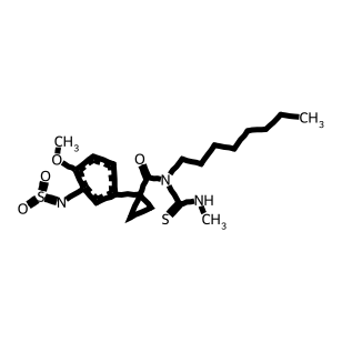 CCCCCCCCN(C(=O)C1(c2ccc(OC)c(N=S(=O)=O)c2)CC1)C(=S)NC